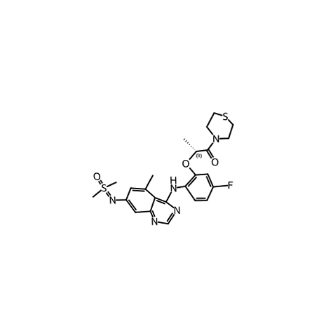 Cc1cc(N=S(C)(C)=O)cc2ncnc(Nc3ccc(F)cc3O[C@H](C)C(=O)N3CCSCC3)c12